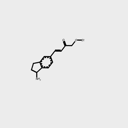 CCOCC(=O)/C=C/c1ccc2c(c1)CCC2N